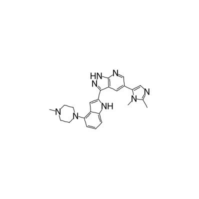 Cc1ncc(-c2cnc3[nH]nc(-c4cc5c(N6CCN(C)CC6)cccc5[nH]4)c3c2)n1C